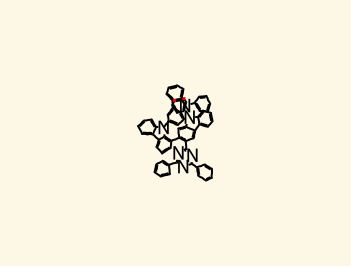 c1ccc(-c2nc(-c3ccccc3)nc(-c3cc4c5ccccc5n(-c5ccccc5)c4cc3-c3cccc4c5ccccc5n(-c5ccc6c(c5)c5ccccc5n6-c5ccccc5)c34)n2)cc1